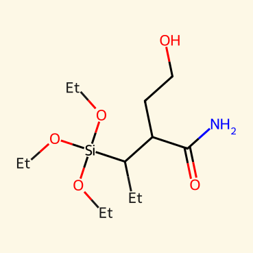 CCO[Si](OCC)(OCC)C(CC)C(CCO)C(N)=O